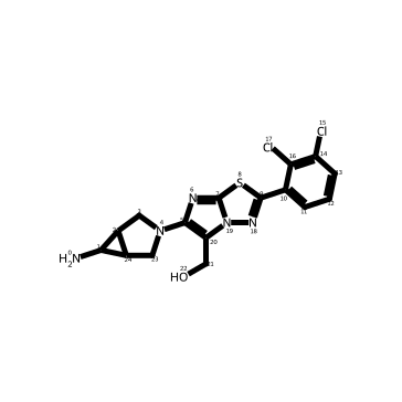 NC1C2CN(c3nc4sc(-c5cccc(Cl)c5Cl)nn4c3CO)CC12